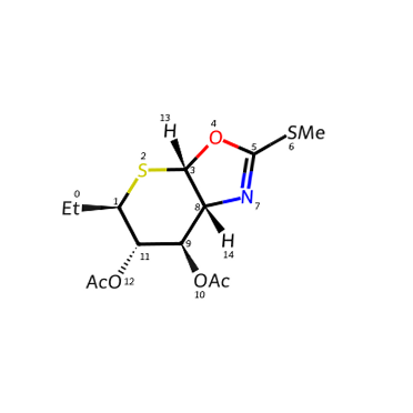 CC[C@H]1S[C@@H]2OC(SC)=N[C@@H]2[C@@H](OC(C)=O)[C@@H]1OC(C)=O